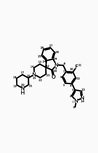 Cn1cc(-c2ccc(CN3C(=O)C4(CCN(C5CCCNC5)CC4)c4ccccc43)c(F)c2)cn1